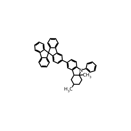 CC1CCC2(C)C(C1)c1cc(-c3ccc4c(c3)-c3ccccc3C43c4ccccc4-c4ccccc43)ccc1N2c1ccccc1